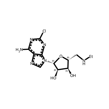 CCNC[C@H]1O[C@@H](n2cnc3c(N)nc(Cl)nc32)[C@H](O)[C@@H]1O